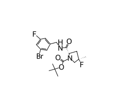 CC(C)(C)OC(=O)N1C[C@](C)(F)C[C@H]1C(=O)NCc1cc(F)cc(Br)c1